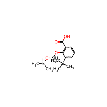 C[SiH](C)O[SiH2]Oc1c(C(=O)O)cccc1[Si](C)(C)C